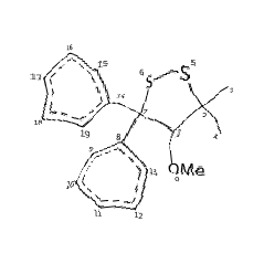 COC1C(C)(C)SSC1(c1ccccc1)c1ccccc1